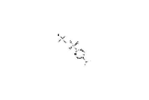 CC(C)c1ccc(S(=O)(=O)OCC(C)(C)[O])cc1